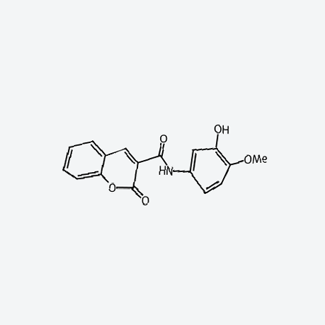 COc1ccc(NC(=O)c2cc3ccccc3oc2=O)cc1O